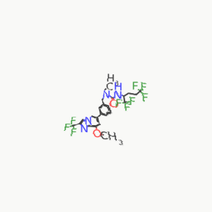 CCN(Cc1cccc(-c2cc(OC)c3nc(C(F)(F)F)cn3c2)c1)C(=O)NC(CCC(F)(F)F)C(F)(F)F